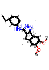 CCc1cccc(Nc2[nH]nc3c2Cc2cc(OC)c(OC)cc2-3)c1